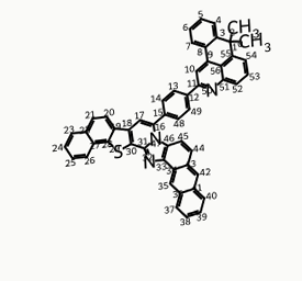 CC1(C)c2ccccc2-c2cc(-c3ccc(-c4cc5c6ccc7ccccc7c6sc5c5nc6c7cc8ccccc8cc7ccc6n45)cc3)nc3cccc1c23